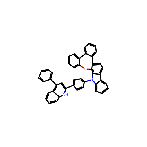 C1=CC2=C(c3ccccc3)C=C(c3ccc(-n4c5ccccc5c5ccc6c(c54)Oc4ccccc4-c4ccccc4-6)cc3)NC2C=C1